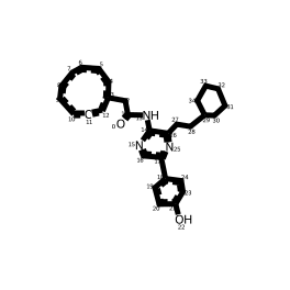 O=C(Cc1ccccccccc1)Nc1ncc(-c2ccc(O)cc2)nc1CCC1CCCCC1